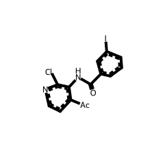 CC(=O)c1ccnc(Cl)c1NC(=O)c1cccc(I)c1